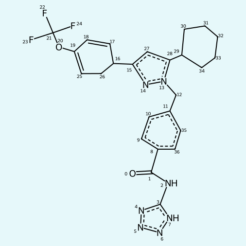 O=C(Nc1nnn[nH]1)c1ccc(Cn2nc(C3C=CC(OC(F)(F)F)=CC3)cc2C2CCCCC2)cc1